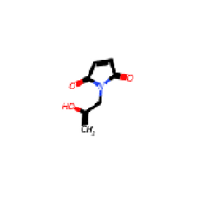 C=C(O)CN1C(=O)C=CC1=O